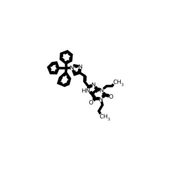 CCCn1c(=O)c2[nH]c(C=Cc3cn(C(c4ccccc4)(c4ccccc4)c4ccccc4)cn3)nc2n(CCC)c1=O